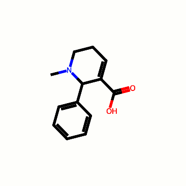 CN1CCC=C(C(=O)O)C1c1ccccc1